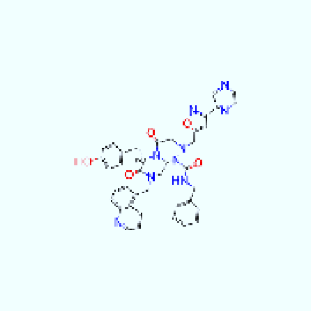 O=C1[C@H](Cc2ccc(O)cc2)N2C(=O)CN(Cc3cc(-c4cnccn4)no3)N(C(=O)NCc3ccccc3)C2CN1Cc1cccc2ncccc12